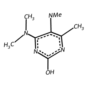 CNc1c(C)nc(O)nc1N(C)C